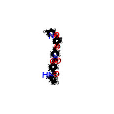 Cc1ccc(Oc2ccc(OCC3CCN(C(=O)Oc4ccc(C(=O)NC(C)(C)CC(C)(C)C)cc4)CC3)cc2)nc1